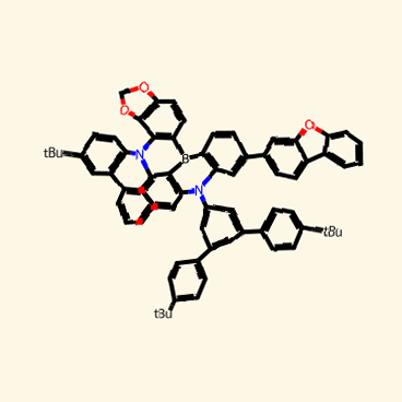 Cc1cc2c3c(c1)N(c1ccc(C(C)(C)C)cc1-c1ccccc1)c1c(ccc4c1OCO4)B3c1ccc(-c3ccc4c(c3)oc3ccccc34)cc1N2c1cc(-c2ccc(C(C)(C)C)cc2)cc(-c2ccc(C(C)(C)C)cc2)c1